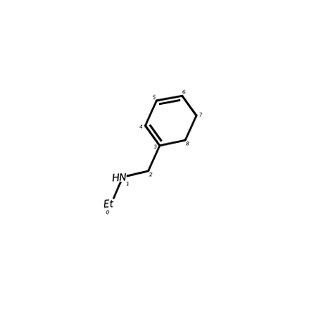 CCNCC1=CC=CCC1